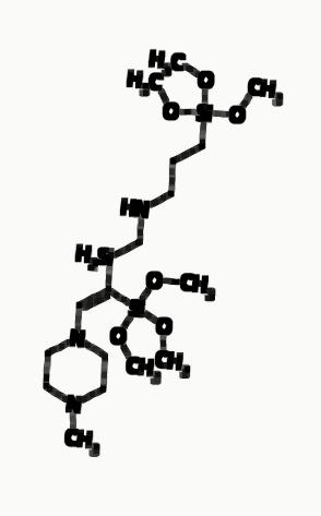 CO[Si](CCCNC[SiH2]C(=CN1CCN(C)CC1)[Si](OC)(OC)OC)(OC)OC